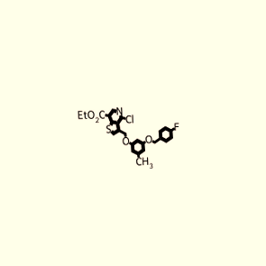 CCOC(=O)c1cnc(Cl)c2c(COc3cc(C)cc(OCc4ccc(F)cc4)c3)csc12